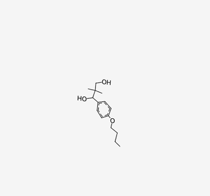 CCCCOc1ccc(C(O)C(C)(C)CO)cc1